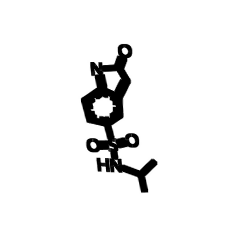 CC(C)NS(=O)(=O)c1ccc2c(c1)=CC(=O)N=2